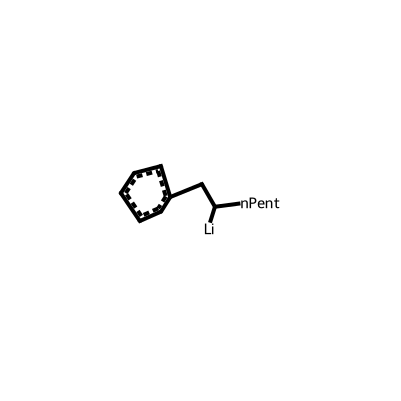 [Li][CH](CCCCC)Cc1ccccc1